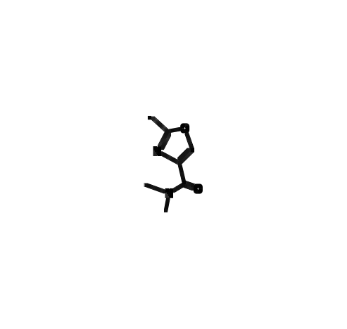 [CH2]c1nc(C(=O)N(C)C)co1